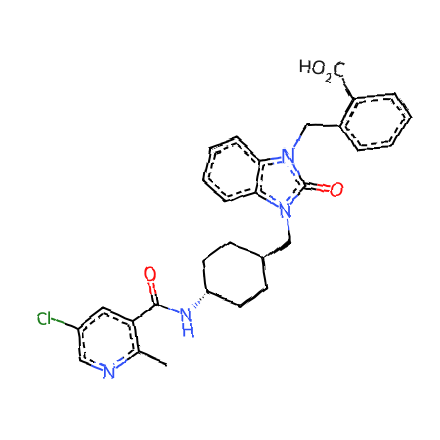 Cc1ncc(Cl)cc1C(=O)N[C@H]1CC[C@H](Cn2c(=O)n(Cc3ccccc3C(=O)O)c3ccccc32)CC1